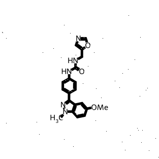 COc1ccc2c(c1)c(-c1ccc(NC(=O)NCc3cnco3)cc1)nn2C